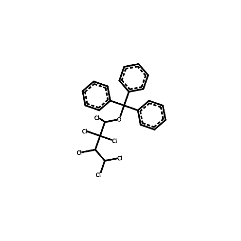 ClC(Cl)C(Cl)C(Cl)(Cl)C(Cl)OC(c1ccccc1)(c1ccccc1)c1ccccc1